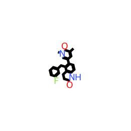 Cc1cc(-c2ccc3c(c2Cc2cccc(F)c2)CCC(=O)N3)cn(C)c1=O